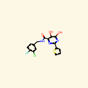 O=C(NCc1ccc(F)c(Cl)c1)c1nc(-c2cccs2)nc(O)c1O